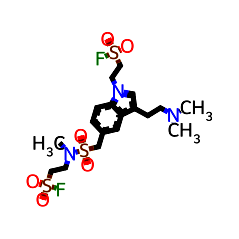 CN(C)CCc1cn(CCS(=O)(=O)F)c2ccc(CS(=O)(=O)N(C)CCS(=O)(=O)F)cc12